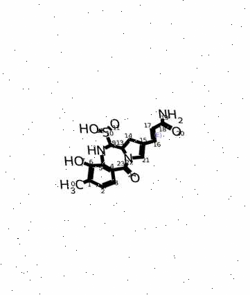 Cc1ccc2c(c1O)NC(S(=O)O)C1CC(/C=C/C(N)=O)=CN1C2=O